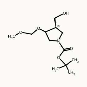 COCOC1CN(C(=O)OC(C)(C)C)C[C@@H]1CO